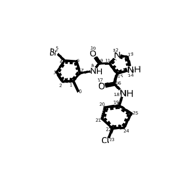 Cc1ccc(Br)cc1NC(=O)c1nc[nH]c1C(=O)Nc1ccc(Cl)cc1